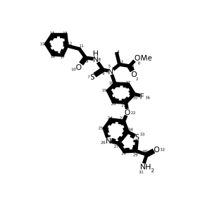 COC(=O)C(C)N(C(=S)NC(=O)Cc1ccccc1)c1ccc(Oc2ccnc3cc(C(N)=O)sc23)c(F)c1